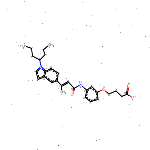 CCCC(CCC)n1ccc2cc(C(C)=CC(=O)Nc3cccc(OCCCC(=O)O)c3)ccc21